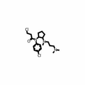 CN(C)CCCN(C)C1CCCC1N(C(=O)CCCl)c1ccc(Cl)cc1